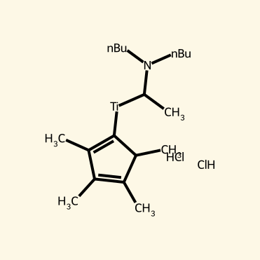 CCCCN(CCCC)[CH](C)[Ti][C]1=C(C)C(C)=C(C)C1C.Cl.Cl